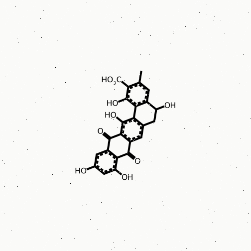 Cc1cc2c(c(O)c1C(=O)O)-c1c(cc3c(c1O)C(=O)c1cc(O)cc(O)c1C3=O)CC2O